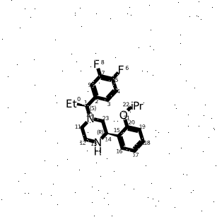 CC[C@@H](c1ccc(F)c(F)c1)N1CCN[C@H](c2ccccc2OC(C)C)C1